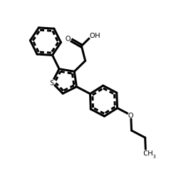 CCCOc1ccc(-c2csc(-c3ccccc3)c2CC(=O)O)cc1